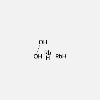 OO.[RbH].[RbH]